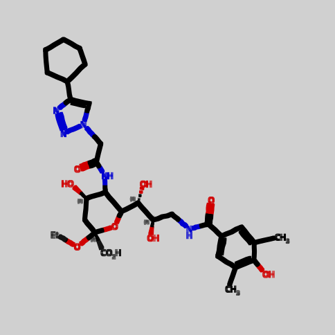 CCO[C@]1(C(=O)O)C[C@@H](O)C(NC(=O)Cn2cc(C3CCCCC3)nn2)C([C@H](O)[C@H](O)CNC(=O)c2cc(C)c(O)c(C)c2)O1